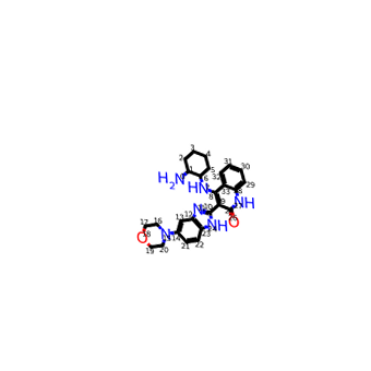 NC1CCCCC1Nc1c(-c2nc3cc(N4CCOCC4)ccc3[nH]2)c(=O)[nH]c2ccccc12